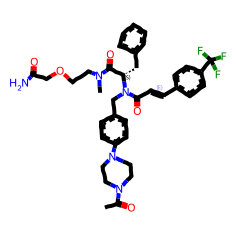 CC(=O)N1CCN(c2ccc(CN(C(=O)/C=C/c3ccc(C(F)(F)F)cc3)[C@@H](Cc3ccccc3)C(=O)N(C)CCOCC(N)=O)cc2)CC1